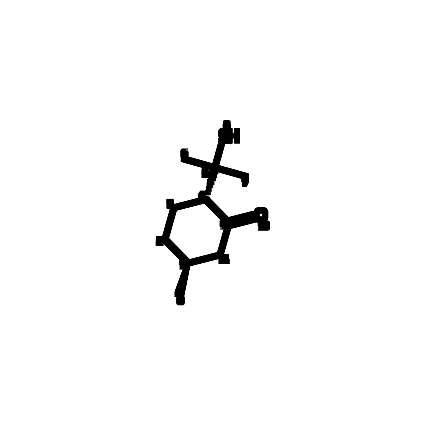 C[C@H]1CC[C@H](C(C)(C)S)C(=O)C1